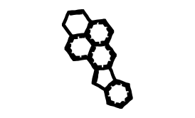 C1=Cc2ccc3cc4c(c5ccc(c2c35)C1)=Cc1ccccc1-4